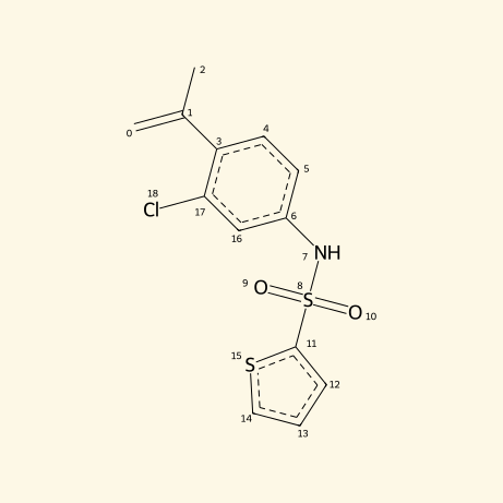 C=C(C)c1ccc(NS(=O)(=O)c2cccs2)cc1Cl